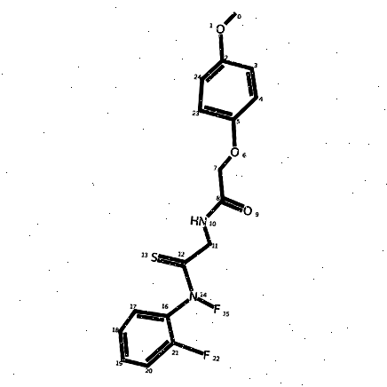 COc1ccc(OCC(=O)NCC(=S)N(F)c2ccccc2F)cc1